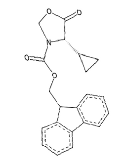 O=C1OCN(C(=O)OCC2c3ccccc3-c3ccccc32)[C@H]1C1CC1